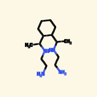 CC(NCCN)C1CCCCC1C(C)NCCN